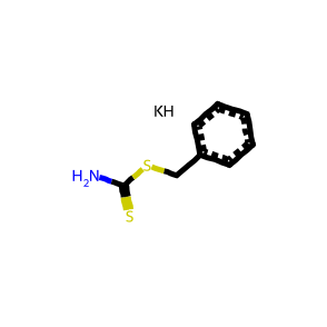 NC(=S)SCc1ccccc1.[KH]